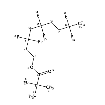 CCC(C)(C)C(=O)OCCC(F)(F)CC(F)(F)CCC(F)(F)C(F)(F)F